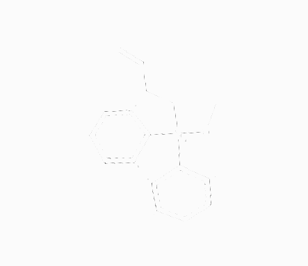 C=CCC[Si](OC)(c1ccccc1)c1ccccc1